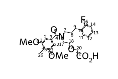 COc1cc(C(=O)N(CCCc2ccccc2F)CCOCC(=O)O)cc(OC)c1C